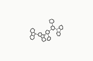 c1ccc(-c2cc(-c3ccc(-n4c5ccccc5c5cc(-n6c7ccccc7c7ccccc76)ccc54)c(-c4ccccc4)c3)cc(C3c4ccccc4-c4ccccc43)c2)cc1